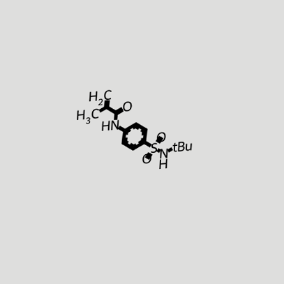 C=C(C)C(=O)Nc1ccc(S(=O)(=O)NC(C)(C)C)cc1